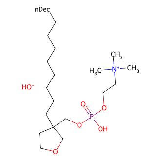 CCCCCCCCCCCCCCCCCCC1(COP(=O)(O)OCC[N+](C)(C)C)CCOC1.[OH-]